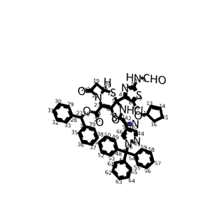 O=CNc1nc(C2(NC(=O)/C=N\OC3C=CCC3)S[C@@H]3CC(=O)N3C(C(=O)OC(c3ccccc3)c3ccccc3)=C2SCc2cnn(C(c3ccccc3)(c3ccccc3)c3ccccc3)c2)c(Cl)s1